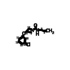 C=CCNC(=O)N1CC(Oc2cccc(Cl)c2)C1